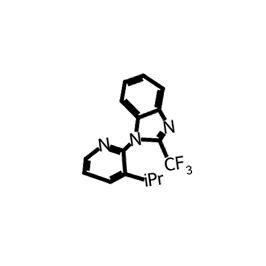 CC(C)c1cccnc1-n1c(C(F)(F)F)nc2ccccc21